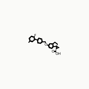 Cc1ccc(F)c(-c2ccc(COc3ccc4c(c3)CC[C@]43C[C@H]3C(=O)O)cc2)c1